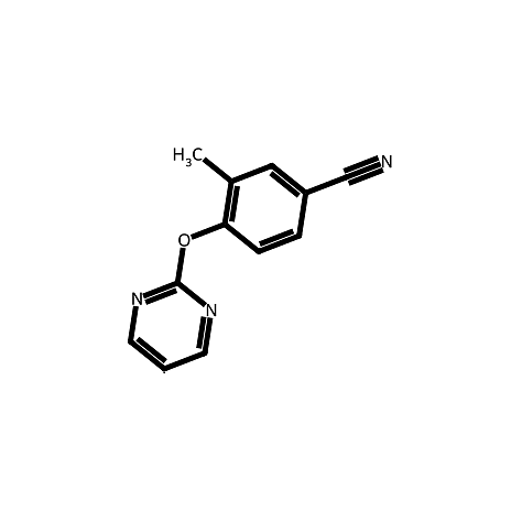 Cc1cc(C#N)ccc1Oc1nc[c]cn1